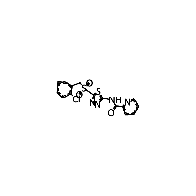 O=C(Nc1nnc(S(=O)(=O)Cc2ccccc2Cl)s1)c1ccccn1